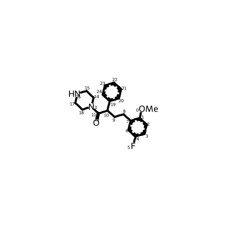 COc1ccc(F)cc1CCC(C(=O)N1CCNCC1)c1ccccc1